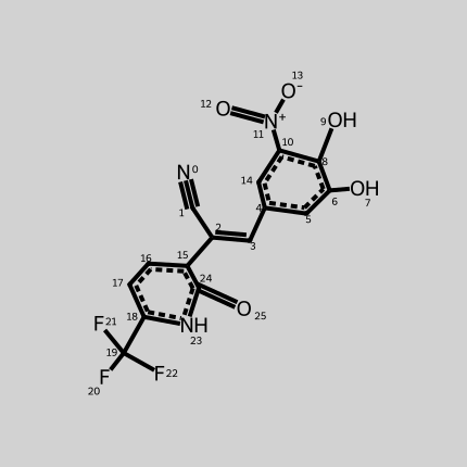 N#CC(=Cc1cc(O)c(O)c([N+](=O)[O-])c1)c1ccc(C(F)(F)F)[nH]c1=O